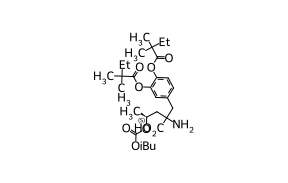 CCC(C)(C)C(=O)Oc1ccc(CC(N)(C[C@H](C)OC(=O)OCC(C)C)C(=O)O)cc1OC(=O)C(C)(C)CC